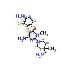 Cn1c(N2CCC(C)(CN)CC2)nc(N)c(Sc2cccc(N)c2Cl)c1=O